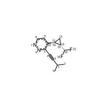 CC(C)C#Cc1nnccc1[C@H]1C[C@@H]1C(F)F